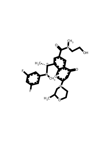 CC1CN(c2cc(=O)c3cc(C(=O)N(C)CCO)cc([C@@H](C)N(C)c4cc(F)cc(F)c4)c3o2)CCO1